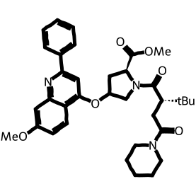 COC(=O)[C@@H]1CC(Oc2cc(-c3ccccc3)nc3cc(OC)ccc23)CN1C(=O)[C@@H](CC(=O)N1CCCCC1)C(C)(C)C